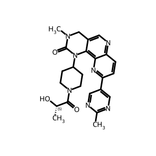 Cc1ncc(-c2ccc3ncc4c(c3n2)N(C2CCN(C(=O)[C@H](C)O)CC2)C(=O)N(C)C4)cn1